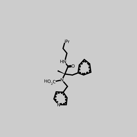 CC(C)CCNC(=O)[C@](C)(Cc1ccccc1)N(Cc1ccncc1)C(=O)O